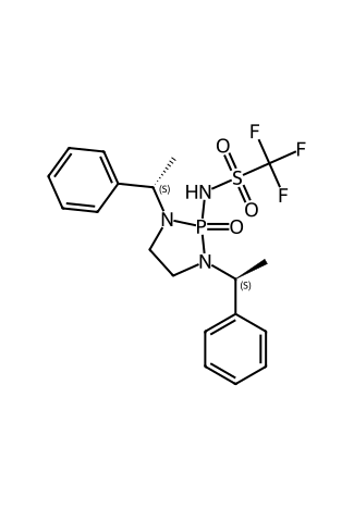 C[C@@H](c1ccccc1)N1CCN([C@@H](C)c2ccccc2)P1(=O)NS(=O)(=O)C(F)(F)F